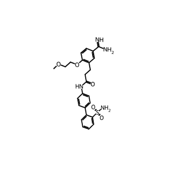 COCCOc1ccc(C(=N)N)cc1CCC(=O)Nc1ccc(-c2ccccc2S(N)(=O)=O)cc1